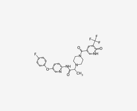 CC(C(=O)Nc1ccc(Oc2ccc(F)cc2)cn1)N1CCN(C(=O)c2c[nH]c(=O)c(C(F)(F)F)c2)CC1